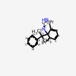 CC(C)C1=CC=CC(C(C)C)C1(N=C=N)C(C)(C)c1ccccc1